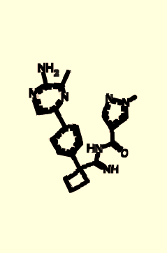 Cc1nc(-c2ccc(C3(C(=N)NC(=O)c4cnn(C)c4)CCC3)cc2)cnc1N